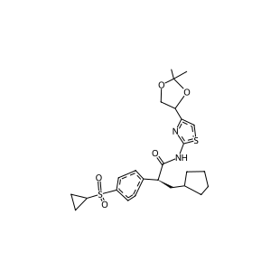 CC1(C)OCC(c2csc(NC(=O)[C@@H](CC3CCCC3)c3ccc(S(=O)(=O)C4CC4)cc3)n2)O1